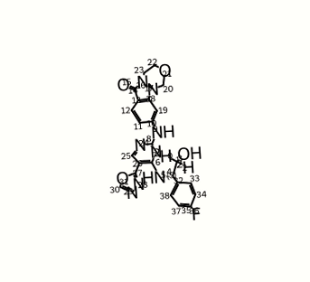 [2H]C([2H])(O)[C@@H](Nc1nc(Nc2ccc3c(=O)n4n(c3c2)COCC4)ncc1-c1nnco1)c1ccc(F)cc1